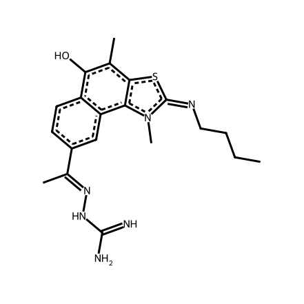 CCCCN=c1sc2c(C)c(O)c3ccc(C(C)=NNC(=N)N)cc3c2n1C